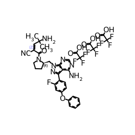 CC(C)(N)/C=C(/C#N)C(=O)N1CCC[C@@H]1Cn1nc(-c2ccc(Oc3ccccc3)cc2F)c2c(N)ncnc21.O=C(O)C(F)(F)F.O=C(O)C(F)(F)F.O=C(O)C(F)(F)F